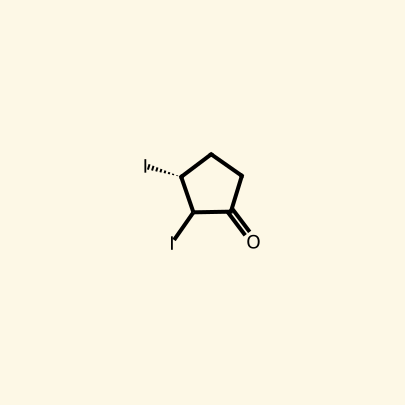 O=C1CC[C@@H](I)C1I